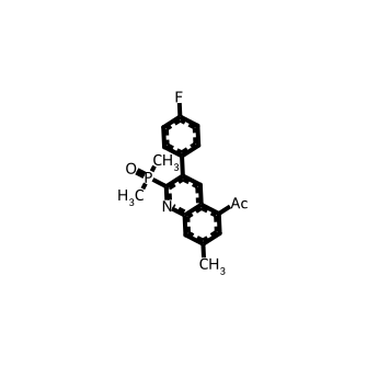 CC(=O)c1cc(C)cc2nc(P(C)(C)=O)c(-c3ccc(F)cc3)cc12